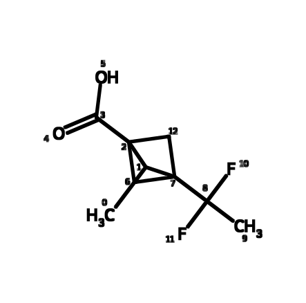 CC1C2(C(=O)O)CC1(C(C)(F)F)C2